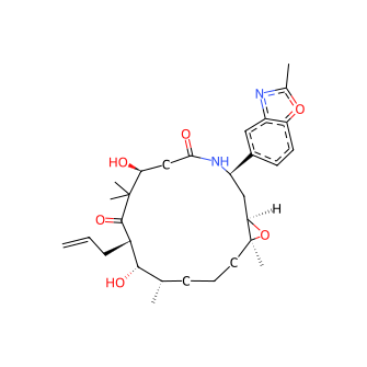 C=CC[C@H]1C(=O)C(C)(C)[C@@H](O)CC(=O)N[C@@H](c2ccc3oc(C)nc3c2)C[C@H]2O[C@@]2(C)CCC[C@H](C)[C@@H]1O